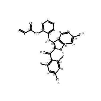 C=CC(=O)Oc1ccccc1Oc1c(C(=O)c2c(C)cc(Cl)cc2C)sc2cc(F)ccc12